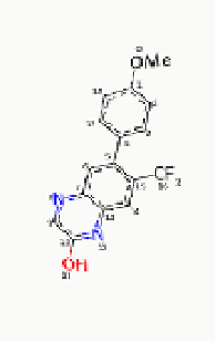 COc1ccc(-c2cc3ncc(O)nc3cc2C(F)(F)F)cc1